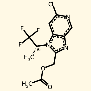 CC(=O)OCc1nc2cnc(Cl)cc2n1[C@H](C)C(F)(F)F